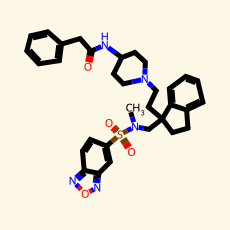 CN(CC1(CCN2CCC(NC(=O)Cc3ccccc3)CC2)CCc2ccccc21)S(=O)(=O)c1ccc2nonc2c1